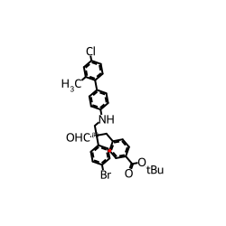 Cc1cc(Cl)ccc1-c1ccc(NC[C@@](C=O)(Cc2ccc(C(=O)OC(C)(C)C)cc2)c2ccc(Br)cc2)cc1